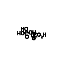 O=C([O-])O.O=P(O)(O)O.[Li+]